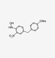 COc1ccc(Cc2ccc(NO)c([N+](=O)[O-])c2)cc1